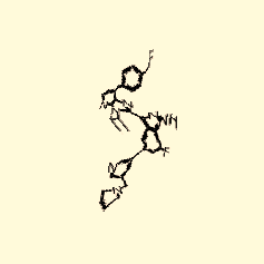 Fc1ccc(-c2ccnc3[nH]c(-c4n[nH]c5c(F)cc(-c6cncc(CN7CCCC7)c6)cc45)nc23)cc1